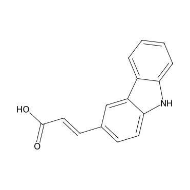 O=C(O)C=Cc1ccc2[nH]c3ccccc3c2c1